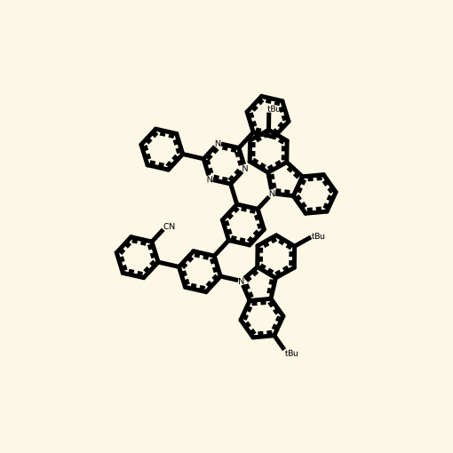 CC(C)(C)c1ccc2c(c1)c1cc(C(C)(C)C)ccc1n2-c1ccc(-c2ccccc2C#N)cc1-c1ccc(-n2c3ccccc3c3cc(C(C)(C)C)ccc32)c(-c2nc(-c3ccccc3)nc(-c3ccccc3)n2)c1